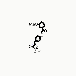 COc1cccc(C(=O)COc2ccc(/C=C3\SC(=O)NC3=O)cc2)c1